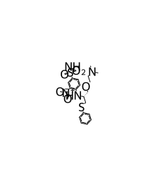 CN(C)CCOC[C@H](CSc1ccccc1)Nc1ccc(S(N)(=O)=O)cc1[N+](=O)[O-]